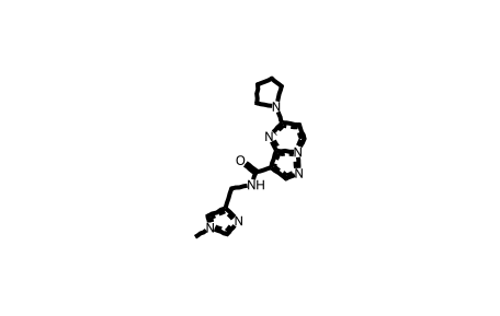 Cn1cnc(CNC(=O)c2cnn3ccc(N4CCCC4)nc23)c1